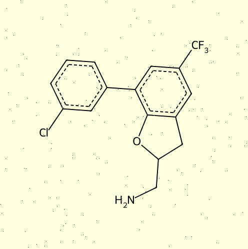 NCC1Cc2cc(C(F)(F)F)cc(-c3cccc(Cl)c3)c2O1